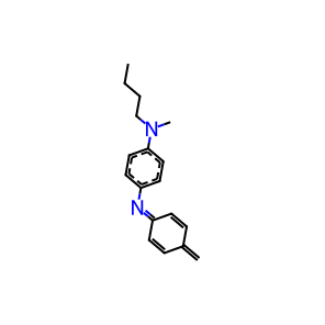 C=C1C=CC(=Nc2ccc(N(C)CCCC)cc2)C=C1